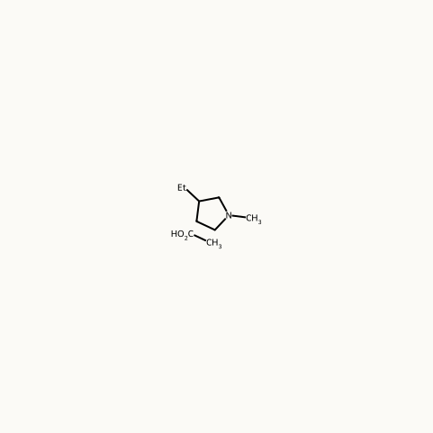 CC(=O)O.CCC1CCN(C)C1